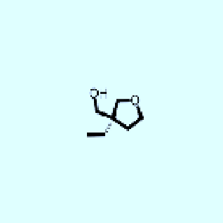 CC[C@@]1(CO)CCOC1